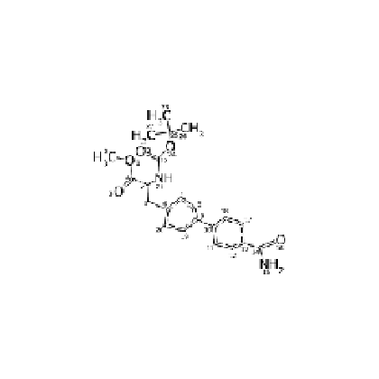 COC(=O)C(Cc1ccc(-c2ccc(C(N)=O)cc2)cc1)NC(=O)OC(C)(C)C